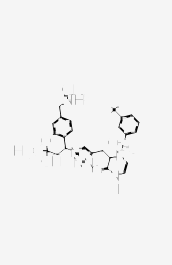 CNCc1ccc2c(c1)OC(C)(C)CC2n1cc(CC2C(=O)NC=CN2S(=O)(=O)c2cccc(C(F)(F)F)c2)nn1